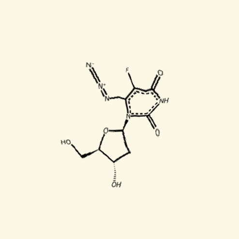 [N-]=[N+]=Nc1c(F)c(=O)[nH]c(=O)n1[C@H]1C[C@H](O)[C@@H](CO)O1